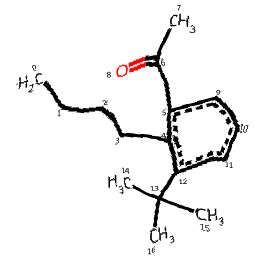 [CH2]CCCc1c(C(C)=O)cccc1C(C)(C)C